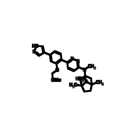 COCOc1cc(-c2cn[nH]c2)ccc1-c1ccc(N(C)C2CC3(C)CC[C@](C)(C2)N3C(=O)O)nn1